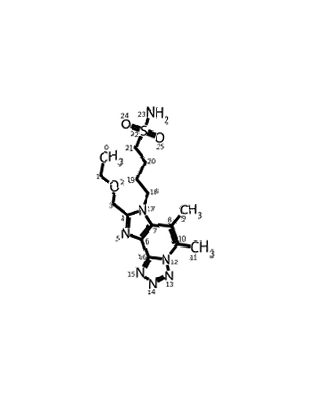 CCOCc1nc2c(c(C)c(C)n3nnnc23)n1CCCCS(N)(=O)=O